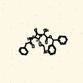 CC(=O)CO[C@@H]1[C@@H](NC(=O)Cc2ccccc2)C(=O)N1C(O)C(=O)OC(c1ccccc1)c1ccccc1